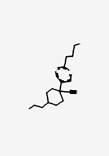 CCCCc1ncc(C2(C#N)CCC(CCC)CC2)cn1